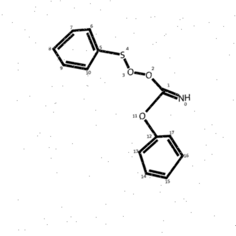 N=C(OOSc1ccccc1)Oc1ccccc1